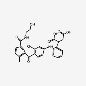 Cc1ccc(C(=O)NCCO)cc1C(=O)c1ccc(Nc2ccccc2C(CC(=O)O)C(=O)O)cc1Cl